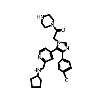 O=C(Cn1cnc(-c2ccc(Cl)cc2)c1-c1ccnc(CNC2CCCC2)c1)N1CCNCC1